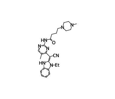 CCN1C(=C(C#N)c2nc(NC(=O)CCCN3CCN(C)CC3)ncc2C)Nc2ccccc21